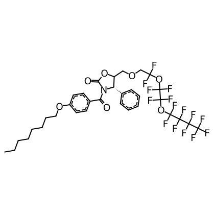 CCCCCCCCOc1ccc(C(=O)N2C(=O)OC(COCC(F)(F)OC(F)(F)C(F)(F)OC(F)(F)C(F)(F)C(F)(F)C(F)(F)F)[C@@H]2c2ccccc2)cc1